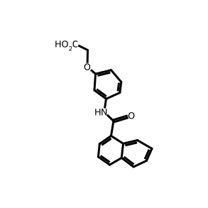 O=C(O)COc1cccc(NC(=O)c2cccc3ccccc23)c1